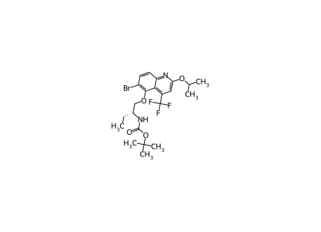 CC[C@H](COc1c(Br)ccc2nc(OC(C)C)cc(C(F)(F)F)c12)NC(=O)OC(C)(C)C